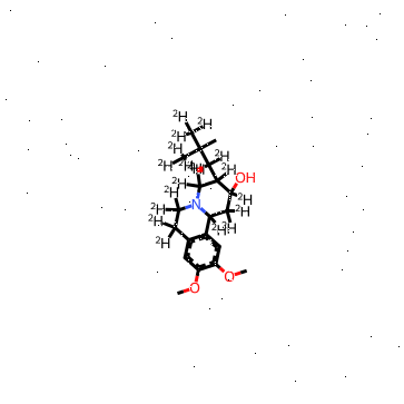 [2H]C([2H])([2H])C(C)(C([2H])([2H])[2H])C([2H])([2H])C1([2H])C([2H])([2H])N2C([2H])([2H])C([2H])([2H])c3cc(OC)c(OC)cc3C2([2H])C([2H])([2H])C1([2H])O